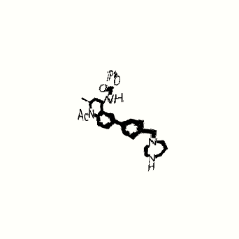 CC(=O)N1c2ccc(-c3ccc(CN4CCCNCC4)cc3)cc2[C@H](NC(=O)OC(C)C)C[C@@H]1C